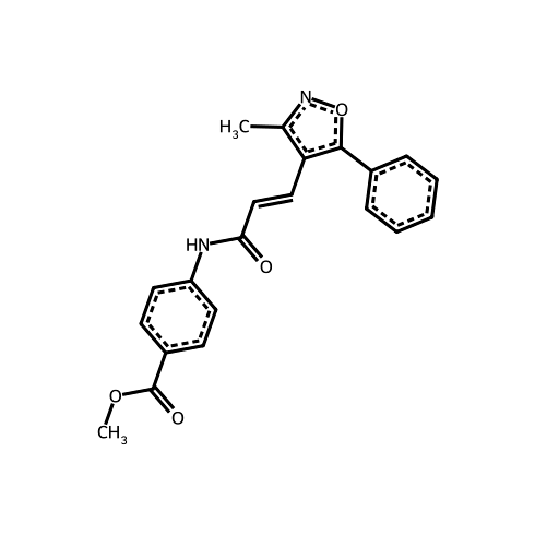 COC(=O)c1ccc(NC(=O)/C=C/c2c(C)noc2-c2ccccc2)cc1